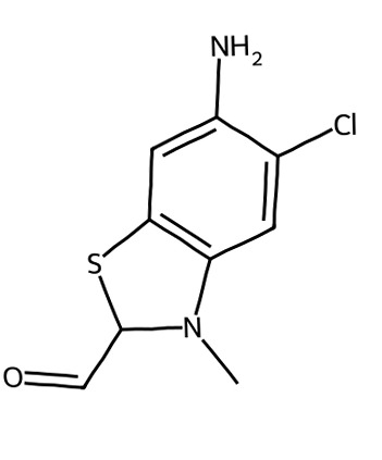 CN1c2cc(Cl)c(N)cc2SC1C=O